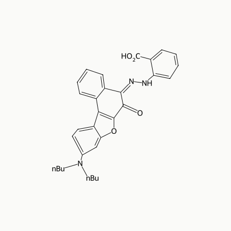 CCCCN(CCCC)c1ccc2c3c(oc2c1)C(=O)/C(=N\Nc1ccccc1C(=O)O)c1ccccc1-3